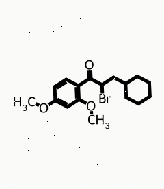 COc1ccc(C(=O)C(Br)CC2CCCCC2)c(OC)c1